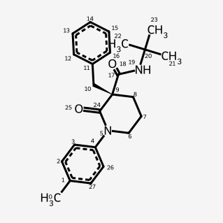 Cc1ccc(N2CCC[C@@](Cc3ccccc3)(C(=O)NC(C)(C)C)C2=O)cc1